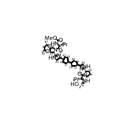 COC(=O)N[C@H](C(=O)N1CC2(C[C@H]1c1nc(-c3ccc(-c4ccc(-c5c[nH]c([C@@H]6CCCN6C(=O)[C@@H](NC(=O)O)C(C)C)n5)cc4)cc3)c[nH]1)O[C@@H](C)C[C@H](C)O2)C(C)C